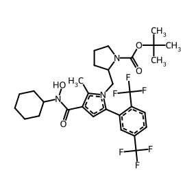 Cc1c(C(=O)N(O)C2CCCCC2)cc(-c2cc(C(F)(F)F)ccc2C(F)(F)F)n1CC1CCCN1C(=O)OC(C)(C)C